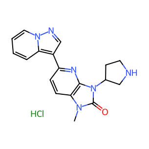 Cl.Cn1c(=O)n(C2CCNC2)c2nc(-c3cnn4ccccc34)ccc21